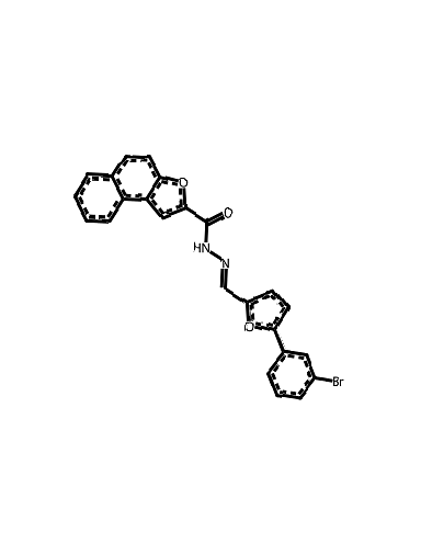 O=C(NN=Cc1ccc(-c2cccc(Br)c2)o1)c1cc2c(ccc3ccccc32)o1